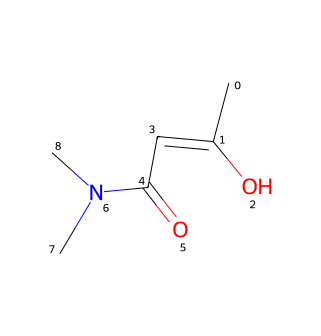 CC(O)=CC(=O)N(C)C